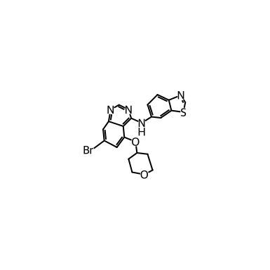 Brc1cc(OC2CCOCC2)c2c(Nc3ccc4ncsc4c3)ncnc2c1